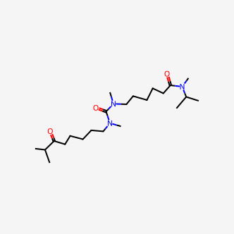 CC(C)C(=O)CCCCCN(C)C(=O)N(C)CCCCCC(=O)N(C)C(C)C